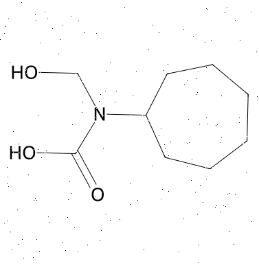 O=C(O)N(CO)C1CCCCCC1